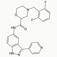 O=C(Nc1ccc2[nH]nc(-c3ccncc3)c2c1)C1CN(Cc2c(F)cccc2F)CCO1